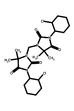 CC1(C)C(=O)N(C2CCCCC2Cl)C(=O)N1CN1C(=O)N(C2CCCCC2Cl)C(=O)C1(C)C